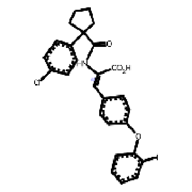 O=C(O)/C(=C\c1ccc(Oc2ccccc2I)cc1)NC(=O)C1(c2ccc(Cl)cc2)CCCC1